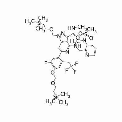 CNC(=O)c1nn(COCC[Si](C)(C)C)c2cc(-c3cc(F)c(OCOCC[Si](C)(C)C)cc3CC(F)(F)F)nc(NCc3ncccc3N(C)S(C)(=O)=O)c12